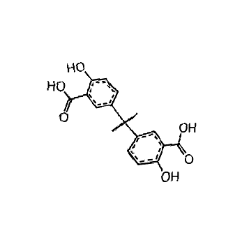 CC(C)(c1ccc(O)c(C(=O)O)c1)c1ccc(O)c(C(=O)O)c1